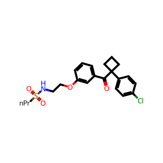 CCCS(=O)(=O)NCCOc1cccc(C(=O)C2(c3ccc(Cl)cc3)CCC2)c1